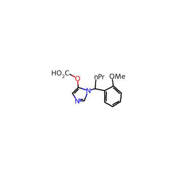 CCCC(c1ccccc1OC)n1cncc1OC(=O)O